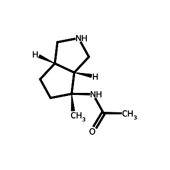 CC(=O)N[C@]1(C)CC[C@@H]2CNC[C@@H]21